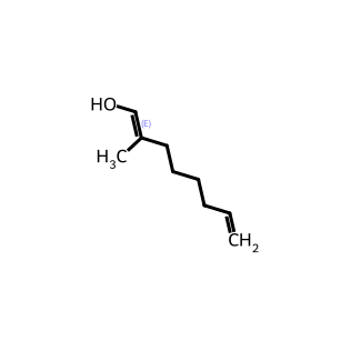 C=CCCCC/C(C)=C/O